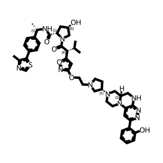 Cc1ncsc1-c1ccc([C@H](C)NC(=O)[C@@H]2C[C@@H](O)CN2C(=O)[C@@H](c2cc(OCCN3CC[C@H](N4CCN5c6cc(-c7ccccc7O)nnc6NC[C@H]5C4)C3)no2)C(C)C)cc1